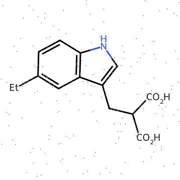 CCc1ccc2[nH]cc(CC(C(=O)O)C(=O)O)c2c1